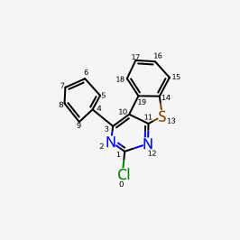 Clc1nc(-c2ccccc2)c2c(n1)sc1ccccc12